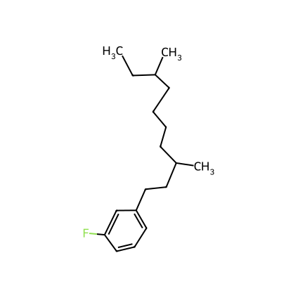 CCC(C)CCCCC(C)CCc1cccc(F)c1